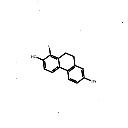 CCCc1ccc2c(c1)CCc1c-2ccc(O)c1F